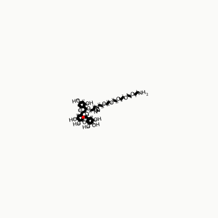 NCCOCCOCCOCCOCCOCCn1cc(COC2c3c(O)cc(O)cc3OC(c3cc(O)c(O)c(O)c3)C2OC(=O)c2cc(O)c(O)c(O)c2)nn1